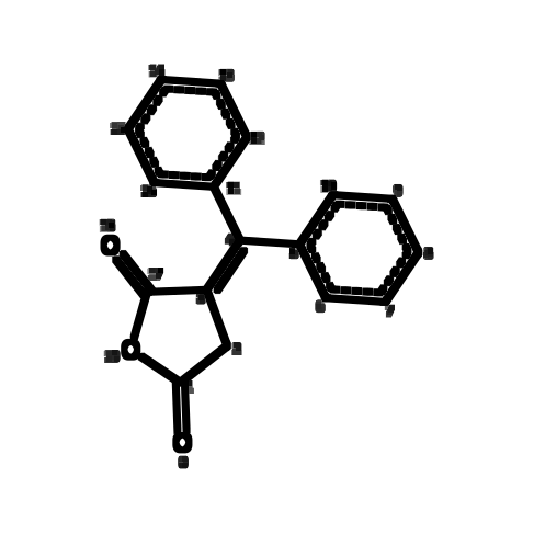 O=C1CC(=C(c2ccccc2)c2ccccc2)C(=O)O1